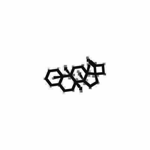 C[C@]12CCCCC1CC[C@@H]1[C@@H]2CC[C@@]2(C)[C@H]1CC[C@@]21CCC1=O